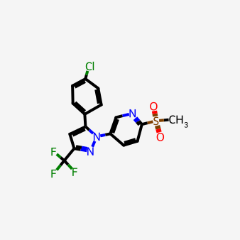 CS(=O)(=O)c1ccc(-n2nc(C(F)(F)F)cc2-c2ccc(Cl)cc2)cn1